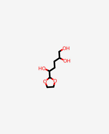 OCC(O)CCC(O)C1OCCO1